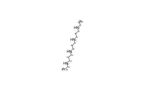 CC(C)CNCCCNCCCNCCCNCC(C)C